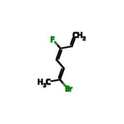 C=C/C(F)=C\C=C(/C)Br